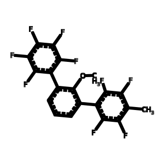 COc1c(-c2c(F)c(F)c(C)c(F)c2F)cccc1-c1c(F)c(F)c(F)c(F)c1F